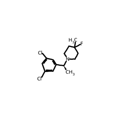 C[C@@H](c1cc(Cl)cc(Cl)c1)N1CCC(C)(F)CC1